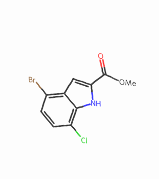 COC(=O)c1cc2c(Br)ccc(Cl)c2[nH]1